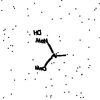 C[NH][Al]([CH3])[O]C.Cl